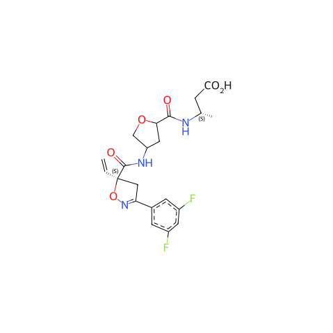 C=C[C@]1(C(=O)NC2COC(C(=O)N[C@@H](C)CC(=O)O)C2)CC(c2cc(F)cc(F)c2)=NO1